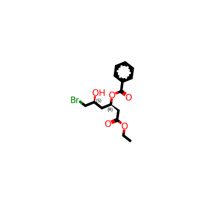 CCOC(=O)C[C@@H](C[C@H](O)CBr)OC(=O)c1ccccc1